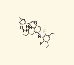 CCc1cc(CC)c(F)c(/N=c2\ccc3ncc(-c4cnn(C)c4)nc3n2CC2CCC(=O)N2)c1F